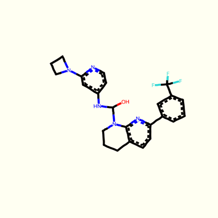 OC(Nc1ccnc(N2CCC2)c1)N1CCCc2ccc(-c3cccc(C(F)(F)F)c3)nc21